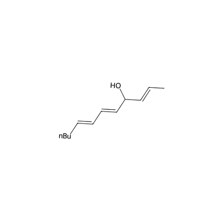 CC=CC(O)C=CC=CCCCC